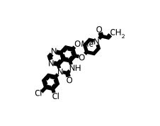 C=CC(=O)N1CCC(Oc2c(OC)cc3ncnc4c3c2NC(=O)N4c2ccc(Cl)c(Cl)c2)CC1